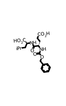 CC(C)C[C@H](NC(=O)[C@H](CCC(=O)O)NC(=O)OCc1ccccc1)C(=O)O